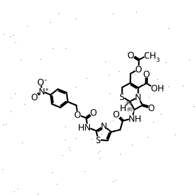 CC(=O)OCC1=C(C(=O)O)N2C(=O)[C@@H](NC(=O)Cc3csc(NC(=O)OCc4ccc([N+](=O)[O-])cc4)n3)[C@H]2SC1